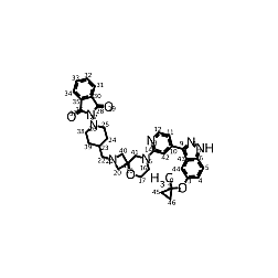 CC1(Oc2ccc3[nH]nc(-c4ccnc(N5CCOC6(CN(CC7CCN(N8C(=O)c9ccccc9C8=O)CC7)C6)C5)c4)c3c2)CC1